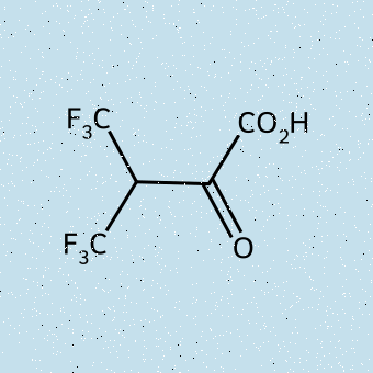 O=C(O)C(=O)C(C(F)(F)F)C(F)(F)F